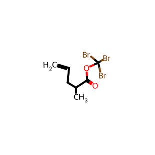 C=CCC(C)C(=O)OC(Br)(Br)Br